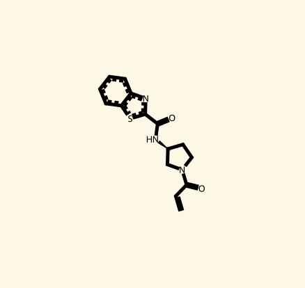 C=CC(=O)N1CC[C@H](NC(=O)c2nc3ccccc3s2)C1